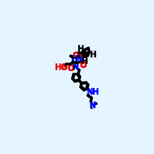 CC(O)[C@@H]1C(CO)ON(Cc2cccc(-c3ccc(NCCCN(C)C)cc3)c2)[C@@H]1C(=O)N[C@H]1C[C@@H]2C[C@H](C1C)C2(C)C